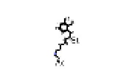 CCC(CCCC/C=C\CC(C)=O)Cc1cccc(C)c1C